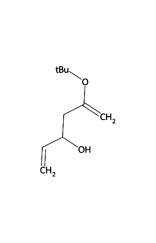 C=CC(O)CC(=C)OC(C)(C)C